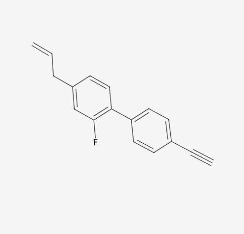 C#Cc1ccc(-c2ccc(CC=C)cc2F)cc1